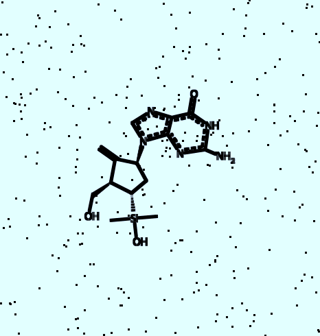 C=C1[C@H](CO)[C@@H]([Si](C)(C)O)C[C@@H]1n1cnc2c(=O)[nH]c(N)nc21